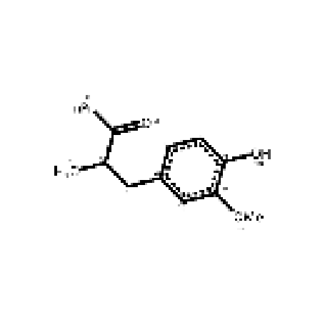 CCCC(=O)C(C)Cc1ccc(O)c(OC)c1